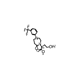 COC(=O)[C@H](CCO)N1CCN(c2cccc(C(F)(F)F)c2)CCC1=O